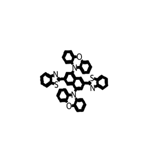 c1ccc2c(c1)Oc1ccccc1N2c1cc(-c2nc3ccccc3s2)cc2c(N3c4ccccc4Oc4ccccc43)cc(-c3nc4ccccc4s3)cc12